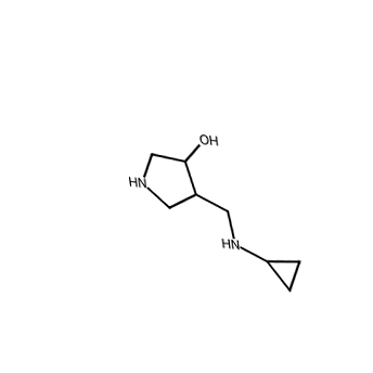 OC1CNCC1CNC1CC1